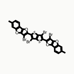 Cc1ccc2c(c1)oc1c(Br)c(-c3sc4c(Br)c(-c5oc6c(oc7cc(C)ccc76)c5Br)sc4c3Br)oc12